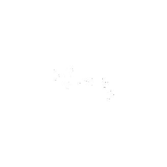 C=C/C=C(\C=C/C)c1c2ccccc2c(C\C=C/C(C=C)=C(C=C)/C=C\Cc2cc(-c3ccccn3)ccn2)c2ccccc12